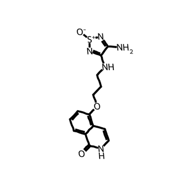 Nc1n[s+]([O-])nc1NCCCOc1cccc2c(=O)[nH]ccc12